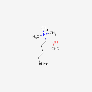 CCCCCCCCCC[N+](C)(C)C.O=CO